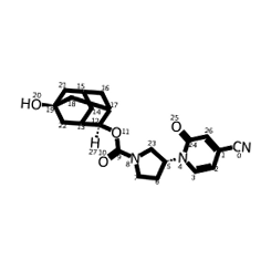 N#Cc1ccn([C@@H]2CCN(C(=O)O[C@H]3C4CC5CC3C[C@@](O)(C5)C4)C2)c(=O)c1